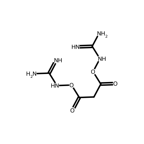 N=C(N)NOC(=O)CC(=O)ONC(=N)N